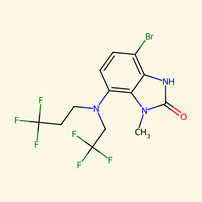 Cn1c(=O)[nH]c2c(Br)ccc(N(CCC(F)(F)F)CC(F)(F)F)c21